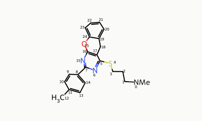 CNCCCSc1nc(-c2ccc(C)cc2)nc2c1Cc1ccccc1O2